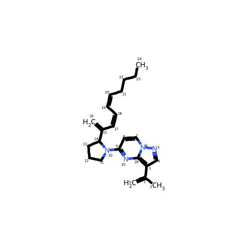 C=C(C)c1cnn2ccc(N3CCCC3C(=C)/C=C\C=C/CCCC)nc12